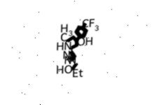 CCC(O)Cn1cc([C@@H]2CC(O)(c3ccc(C(F)(F)F)cc3)C[C@H](C)N2)nn1